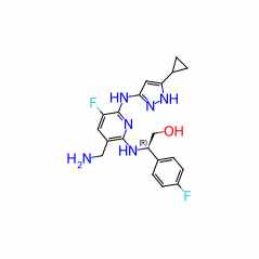 NCc1cc(F)c(Nc2cc(C3CC3)[nH]n2)nc1N[C@@H](CO)c1ccc(F)cc1